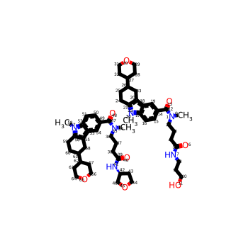 CN(CCCC(=O)NCCCO)C(=O)c1ccc2c(c1)c1c(n2C)CCC(C2CCOCC2)C1.CN(CCCC(=O)N[C@H]1CCOC1)C(=O)c1ccc2c(c1)c1c(n2C)CCC(C2CCOCC2)C1